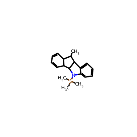 CC1C2C=CC=CC2C2C1c1ccccc1N2S(C)(C)C